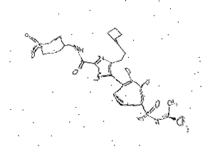 C[C@H](NS(=O)(=O)c1ccc(-c2sc(C(=O)NC3CCS(=O)(=O)CC3)nc2CC2CCC2)c(Cl)c1Cl)C(F)(F)F